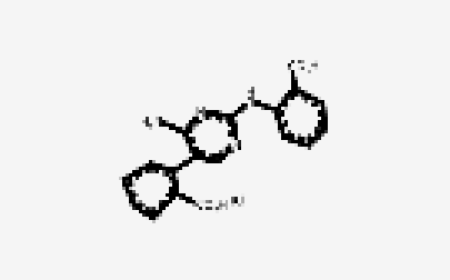 Cl.Nc1nc(Nc2ccccc2C(=O)O)ncc1-c1ccccc1C(=O)O